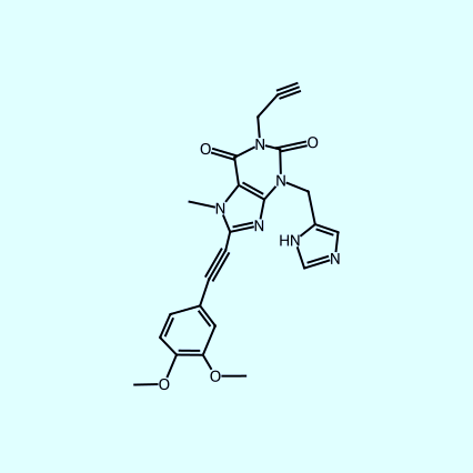 C#CCn1c(=O)c2c(nc(C#Cc3ccc(OC)c(OC)c3)n2C)n(Cc2cnc[nH]2)c1=O